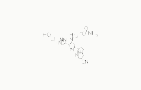 N#Cc1cnn2c(-c3cc(NC4CC(COC(N)=O)C4)c(-c4cn(CC5CC(O)C5)nn4)cn3)ccc2c1